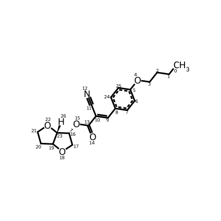 CCCCOc1ccc(/C=C(\C#N)C(=O)O[C@@H]2COC3CCO[C@@H]32)cc1